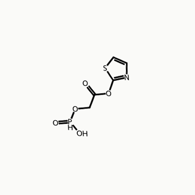 O=C(CO[PH](=O)O)Oc1nccs1